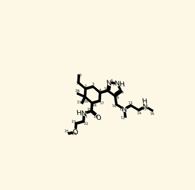 CCC1CC(c2n[nH]cc2CN(C)CCNC)CC(C(=O)NCCOC)C1(C)C